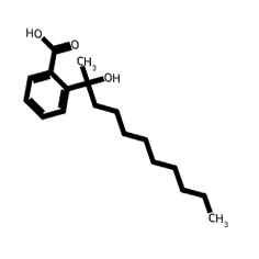 CCCCCCCCCC(C)(O)c1ccccc1C(=O)O